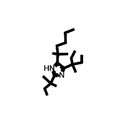 CCCCC(C)(C)c1[nH]c(C(C)(C)CC)nc1C(C)(CC)CC